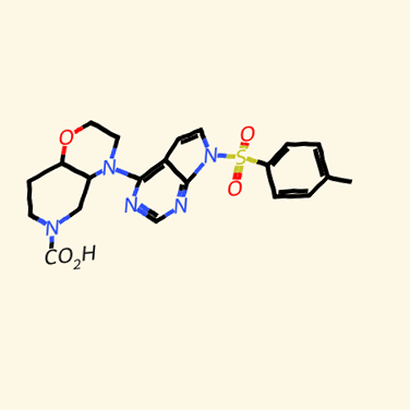 Cc1ccc(S(=O)(=O)n2ccc3c(N4CCOC5CCN(C(=O)O)CC54)ncnc32)cc1